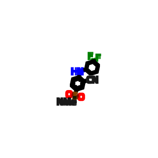 CNS(=O)(=O)c1ccc(NC2CCCC(F)(F)C2)c(C#N)c1